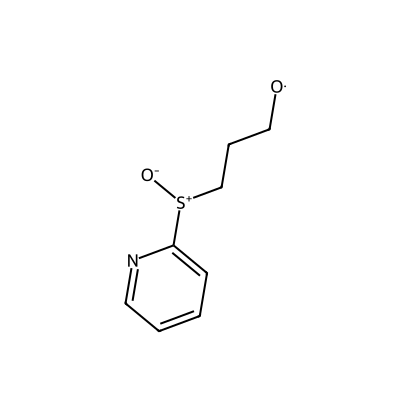 [O]CCC[S+]([O-])c1ccccn1